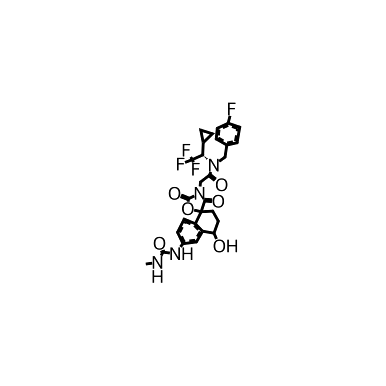 CNC(=O)Nc1ccc2c(c1)C(O)CCC21OC(=O)N(CC(=O)N(Cc2ccc(F)cc2)[C@@H](C2CC2)C(F)(F)F)C1=O